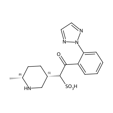 C[C@@H]1CC[C@H](C(C(=O)c2ccccc2-n2nccn2)S(=O)(=O)O)CN1